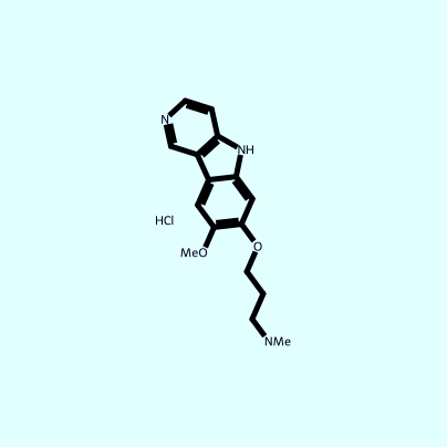 CNCCCOc1cc2[nH]c3ccncc3c2cc1OC.Cl